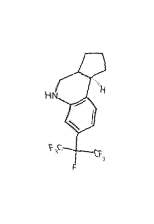 FC(F)(F)C(F)(c1ccc2c(c1)NCC1CCC[C@@H]21)C(F)(F)F